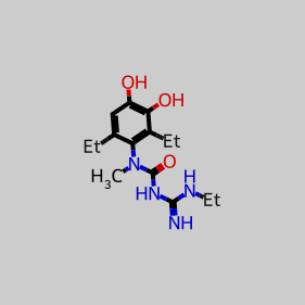 CCNC(=N)NC(=O)N(C)c1c(CC)cc(O)c(O)c1CC